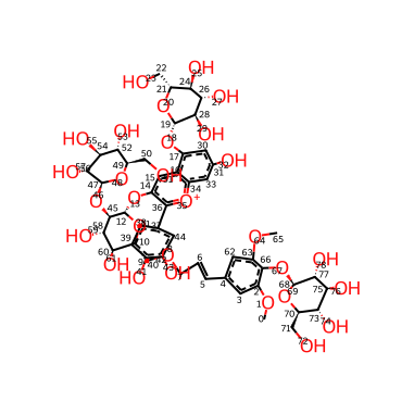 COc1cc(/C=C/COC[C@H]2O[C@@H](Oc3cc4c(O[C@@H]5O[C@H](CO)[C@@H](O)[C@H](O)[C@H]5O)cc(O)cc4[o+]c3-c3ccc(O)c(O)c3)[C@H](O[C@@H]3O[C@H](CO)[C@@H](O)[C@H](O)[C@H]3O)[C@@H](O)[C@@H]2O)cc(OC)c1O[C@@H]1O[C@H](CO)[C@@H](O)[C@H](O)[C@H]1O